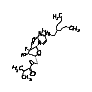 CCCC(CCC)CNc1ccn([C@@H]2O[C@H](COC(=O)C(C)C)[C@@H](O)C2(F)F)c(=O)n1